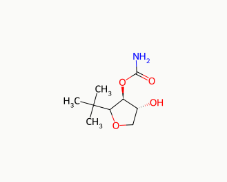 CC(C)(C)C1OC[C@@H](O)[C@@H]1OC(N)=O